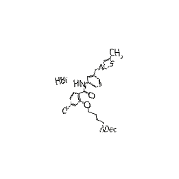 Br.CCCCCCCCCCCCCCOc1cc(Cl)ccc1C(=O)Nc1cccc(CN2C=C(C)SC2)c1